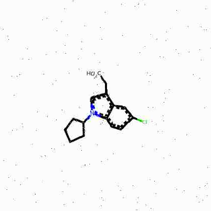 O=C(O)Cc1cn(C2CCCC2)c2ccc(Cl)cc12